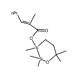 CCCC=C(C)C(=O)O[Si]1(C)CCC(C)(C)O[Si]1(C)C